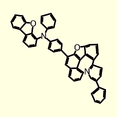 c1ccc(-c2ccc(-c3cccc4oc5c(-c6ccc(N(c7ccccc7)c7cccc8c7oc7ccccc78)cc6)cc6ccccc6c5c34)nc2)cc1